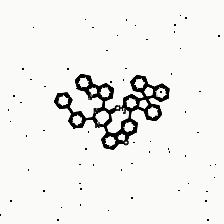 C=C1C=C(c2cccc3oc4ccc(-c5cccc6c5-c5ccccc5C65c6ccccc6-c6ccccc65)cc4c23)N=C(c2cccc(-c3ccccc3)c2)N=C1c1cccc2c1sc1ccccc12